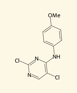 COc1ccc(Nc2nc(Cl)ncc2Cl)cc1